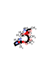 CO[C@]1(C)C[C@@H](C)CN(C)[C@H](C2CC3CCC(C2)N3CC(C)C)COC(=O)C(C)(C)C(=O)[C@H](C)[C@H]1O[C@@H]1O[C@H](C)C[C@H](N(C)C)[C@H]1O